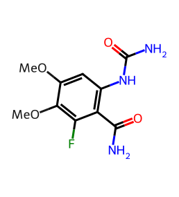 COc1cc(NC(N)=O)c(C(N)=O)c(F)c1OC